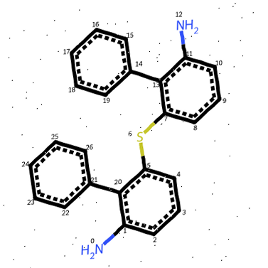 Nc1cccc(Sc2cccc(N)c2-c2ccccc2)c1-c1ccccc1